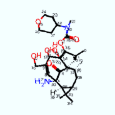 CC1=C[C@]23C(=O)[C@@](N)(C=C(CO)[C@@H](O)[C@]2(O)[C@H]1OC(=O)N(C)C1CCOCC1)[C@H]1C(C[C@H]3C)C1(C)C